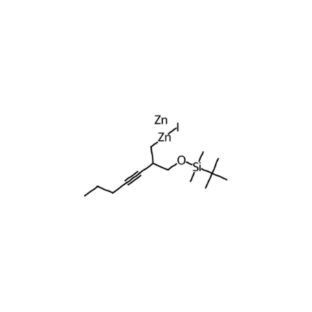 CCCC#CC(CO[Si](C)(C)C(C)(C)C)[CH2][Zn][I].[Zn]